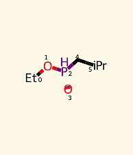 CCO[PH](=O)CC(C)C